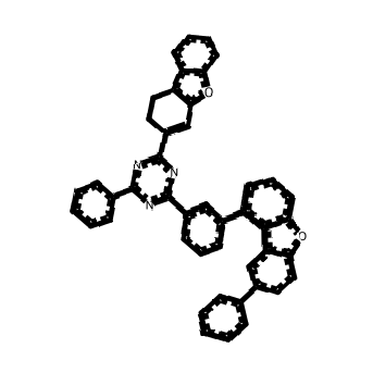 C1=C(c2nc(-c3ccccc3)nc(-c3cccc(-c4cccc5oc6ccc(-c7ccccc7)cc6c45)c3)n2)CCc2c1oc1ccccc21